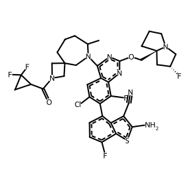 CC1CCCC2(CN(C(=O)C3CC3(F)F)C2)CN1c1nc(OC[C@@]23CCCN2C[C@H](F)C3)nc2c(F)c(-c3ccc(F)c4sc(N)c(C#N)c34)c(Cl)cc12